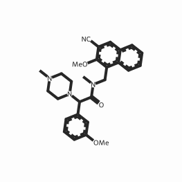 COc1cccc(C(C(=O)N(C)Cc2c(OC)c(C#N)cc3ccccc23)N2CCN(C)CC2)c1